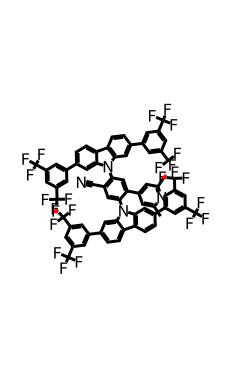 Cc1cc(-c2cc(-n3c4cc(-c5cc(C(F)(F)F)cc(C(F)(F)F)c5)ccc4c4ccc(-c5cc(C(F)(F)F)cc(C(F)(F)F)c5)cc43)c(C#N)cc2-n2c3cc(-c4cc(C(F)(F)F)cc(C(F)(F)F)c4)ccc3c3ccc(-c4cc(C(F)(F)F)cc(C(F)(F)F)c4)cc32)cc(C)n1